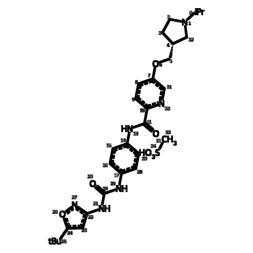 CC(C)N1CC[C@@H](COc2ccc(C(=O)Nc3ccc(NC(=O)Nc4cc(C(C)(C)C)on4)cc3)nc2)C1.CS(=O)(=O)O